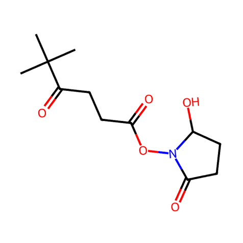 CC(C)(C)C(=O)CCC(=O)ON1C(=O)CCC1O